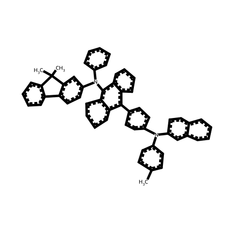 Cc1ccc(N(c2ccc(-c3c4ccccc4c(N(c4ccccc4)c4ccc5c(c4)C(C)(C)c4ccccc4-5)c4ccccc34)cc2)c2ccc3ccccc3c2)cc1